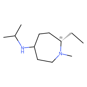 CC[C@H]1CCC(NC(C)C)CCN1C